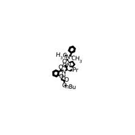 CCCCOC(=O)COc1ccccc1C(=O)N[C@H](CC(C)C)C(=O)N1CCC[C@@H]1C(=O)N(C)[C@@H](C)c1ccccc1